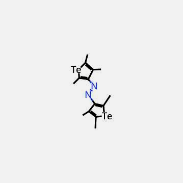 Cc1[te]c(C)c(N=Nc2c(C)[te]c(C)c2C)c1C